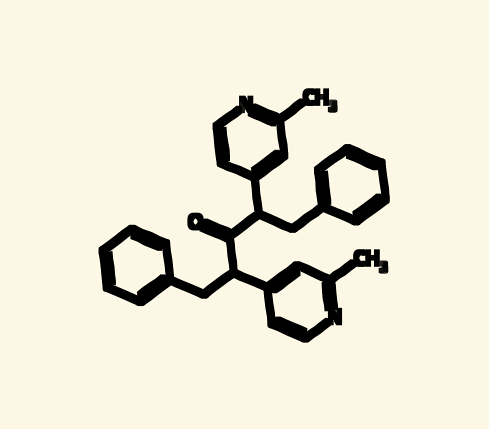 Cc1cc(C(Cc2ccccc2)C(=O)C(Cc2ccccc2)c2ccnc(C)c2)ccn1